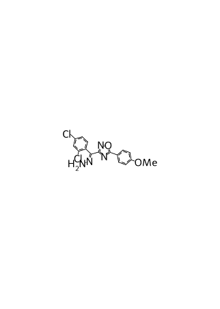 COc1ccc(-c2nc(C(=NN)c3ccc(Cl)cc3Cl)no2)cc1